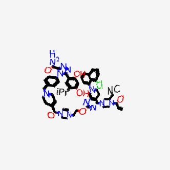 C=CC(=O)N1CCN(c2nc(OCCN3CCN(C(=O)C4CCN(Cc5ccc(-n6c(C(N)=O)nnc6-c6cc(C(C)C)c(O)cc6O)cc5)CC4)CC3)nc3c2CCN(c2cccc4cccc(Cl)c24)C3)CC1CC#N